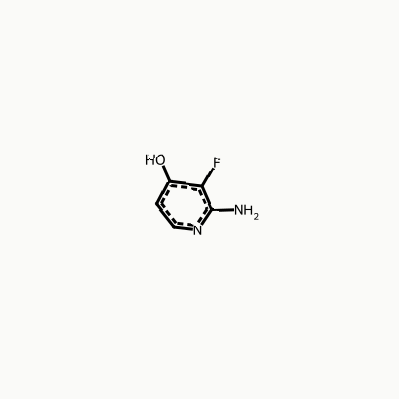 Nc1nccc(O)c1F